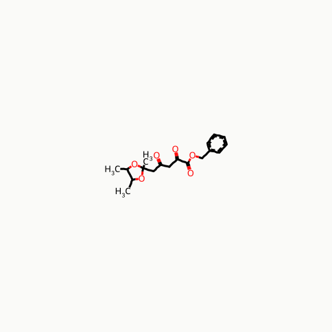 CC1OC(C)(CC(=O)CC(=O)C(=O)OCc2ccccc2)OC1C